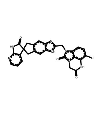 O=C1Cn2c(=O)n(Cc3nc4cc5c(cc4[nH]3)CC3(C5)C(=O)Nc4ncccc43)c3ccc(Cl)c(c32)N1